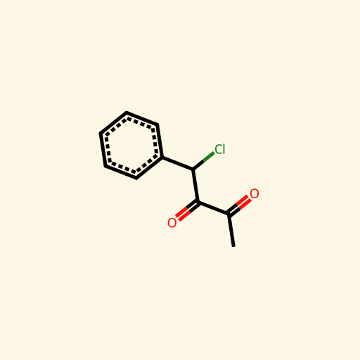 CC(=O)C(=O)C(Cl)c1ccccc1